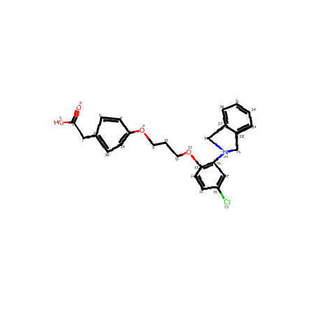 O=C(O)Cc1ccc(OCCCOc2ccc(Cl)cc2N2Cc3ccccc3C2)cc1